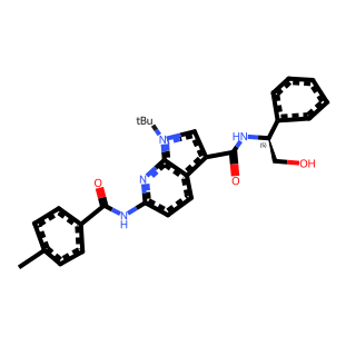 Cc1ccc(C(=O)Nc2ccc3c(C(=O)N[C@H](CO)c4ccccc4)cn(C(C)(C)C)c3n2)cc1